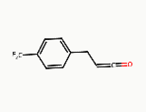 O=C=CCc1ccc(C(F)(F)F)cc1